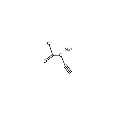 C#COC(=O)[O-].[Na+]